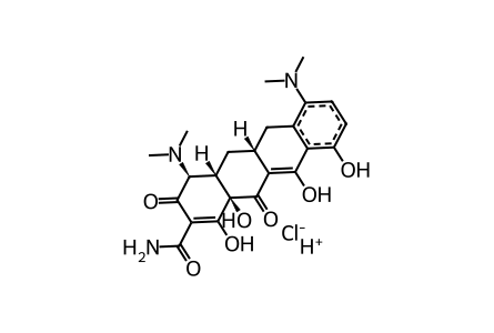 CN(C)c1ccc(O)c2c1C[C@H]1C[C@H]3[C@H](N(C)C)C(=O)C(C(N)=O)=C(O)[C@@]3(O)C(=O)C1=C2O.[Cl-].[H+]